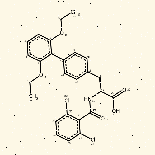 CCOc1cccc(OCC)c1-c1ccc(C[C@H](NC(=O)c2c(Cl)cccc2Cl)C(=O)O)cc1